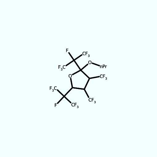 CCCOC1(C(F)(C(F)(F)F)C(F)(F)F)OC(C(F)(C(F)(F)F)C(F)(F)F)C(C(F)(F)F)C1C(F)(F)F